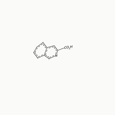 O=C(O)c1cc2ccccc2[c]n1